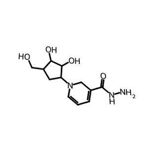 NNC(=O)C1=CC=CN(C2CC(CO)C(O)C2O)C1